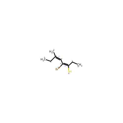 CC/C(C)=C\C(Br)=C(\S)CC